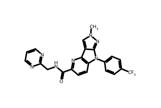 Cn1cc2c3nc(C(=O)NCc4ncccn4)ccc3n(-c3ccc(C(F)(F)F)cc3)c2n1